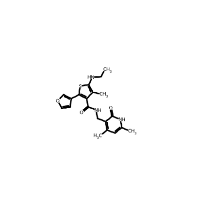 CCNc1sc(-c2ccoc2)c(C(=O)NCc2c(C)cc(C)[nH]c2=O)c1C